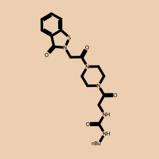 CCCCNC(=O)NCC(=O)N1CCN(C(=O)Cn2sc3ccccc3c2=O)CC1